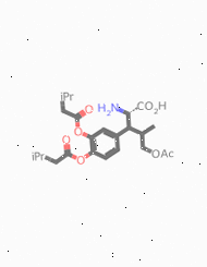 CC(=O)OCC(C)C(c1ccc(OC(=O)CC(C)C)c(OC(=O)CC(C)C)c1)[C@H](N)C(=O)O